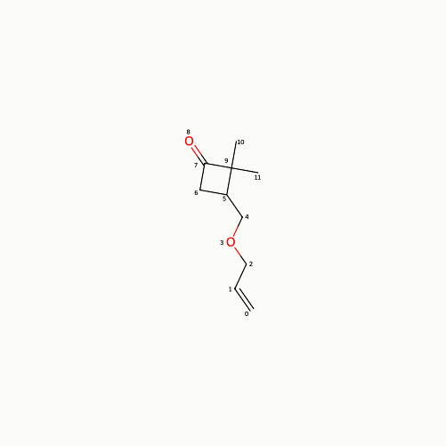 C=CCOCC1CC(=O)C1(C)C